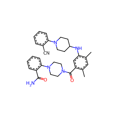 Cc1cc(C)c(C(=O)N2CCN(c3ccccc3C(N)=O)CC2)cc1NC1CCN(c2ccccc2C#N)CC1